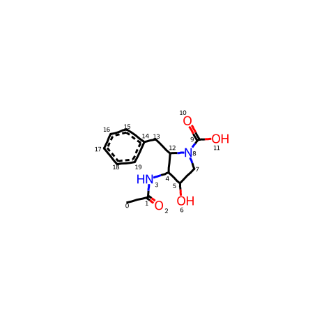 CC(=O)NC1C(O)CN(C(=O)O)C1Cc1ccccc1